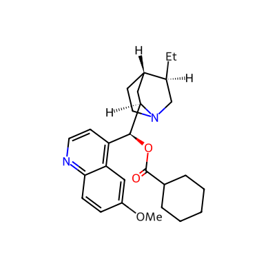 CC[C@H]1CN2CC[C@H]1C[C@@H]2[C@@H](OC(=O)C1CCCCC1)c1ccnc2ccc(OC)cc12